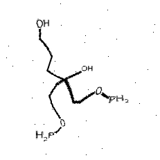 OCCCC(O)(COP)COP